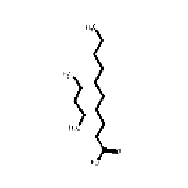 CCCCC.CCCCCCCCCC(=O)O